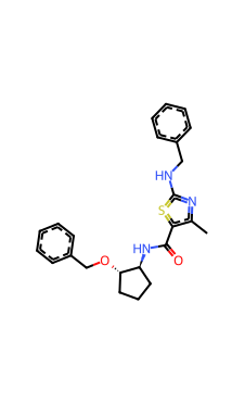 Cc1nc(NCc2ccccc2)sc1C(=O)N[C@H]1CCC[C@@H]1OCc1ccccc1